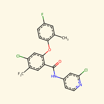 Cc1cc(F)ccc1Oc1cc(Cl)c(C(F)(F)F)cc1C(=O)Nc1ccnc(Cl)c1